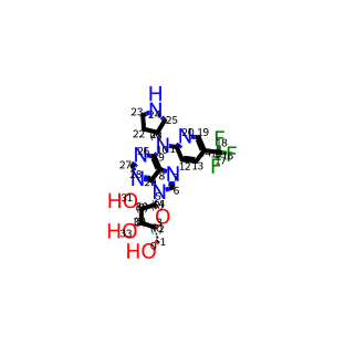 OC[C@H]1O[C@@H](n2cnc3c(N(c4ccc(C(F)(F)F)cn4)[C@@H]4CCNC4)ncnc32)[C@H](O)[C@@H]1O